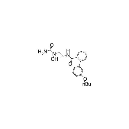 CCCCOc1cccc(-c2ccccc2C(=O)NCCN(O)C(N)=O)c1